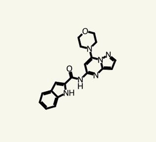 O=C(Nc1cc(N2CCOCC2)n2nccc2n1)c1cc2ccccc2[nH]1